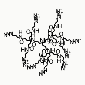 [N-]=[N+]=NCCCNC(=O)CCC(CCC(=O)NCCCN=[N+]=[N-])(CCC(=O)NCCCN=[N+]=[N-])NC(=O)CCC(N)(CCC(=O)NC(CCC(=O)NCCCN=[N+]=[N-])(CCC(=O)NCCCN=[N+]=[N-])CCC(=O)NCCCN=[N+]=[N-])CCC(=O)NC(CCC(=O)NCCCN=[N+]=[N-])(CCC(=O)NCCCN=[N+]=[N-])CCC(=O)NCCN=[N+]=[N-]